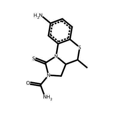 CC1Sc2ccc(N)cc2N2C(=S)N(C(N)=O)CC12